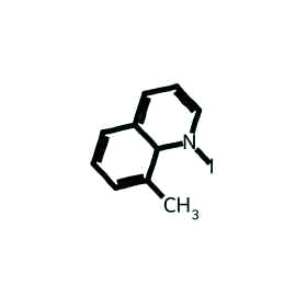 CC1=CC=CC2=CC=CN(I)C12